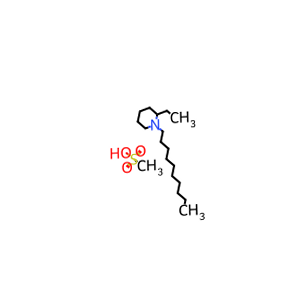 CCCCCCCCCCN1CCCCC1CC.CS(=O)(=O)O